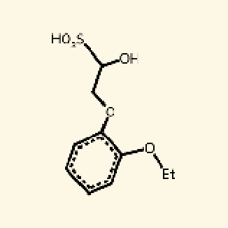 CCOc1ccccc1OCC(O)S(=O)(=O)O